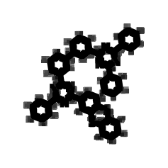 c1ccc(-c2nc(-c3ccccc3)nc(-c3cccc(-c4cccc(-c5nc(-c6ccccc6)nc(-c6ccc7c(c6)Sc6ccccc6S7)n5)c4)c3)n2)cc1